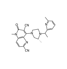 Cc1cccc(C(C)N2CCN(c3c(C#N)c(=O)n(C)c4ccc(C#N)nc34)C[C@H]2C)n1